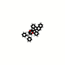 c1ccc(N(c2ccccc2)c2cccc(-c3ccccc3C3(c4ccccc4)c4ccccc4-c4c3ccc3ccccc43)c2)cc1